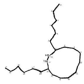 CCCCCCC1CCCCCCCCC(CCCCCC)NN1